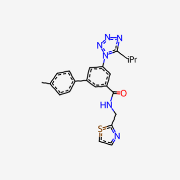 Cc1ccc(-c2cc(C(=O)NCc3nccs3)cc(-n3nnnc3C(C)C)c2)cc1